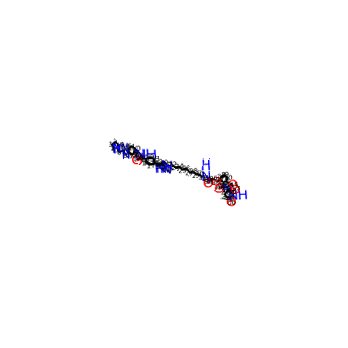 C[C@H]1CCCN1Cc1nc2cc(NC(=O)c3ccc(-c4cn(CCCCCCCCCCNC(=O)COc5cccc6c5C(=O)N(C5CCC(=O)NC5=O)C6=O)nn4)cc3)ccc2[nH]1